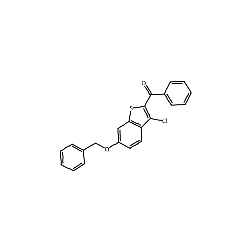 O=C(c1ccccc1)c1sc2cc(OCc3ccccc3)ccc2c1Cl